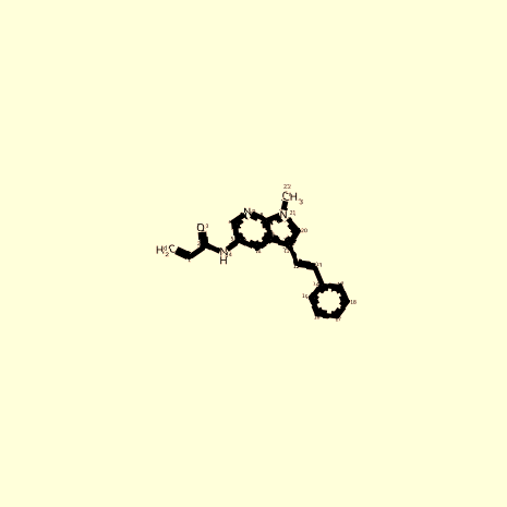 C=CC(=O)Nc1cnc2c(c1)c(C=Cc1ccccc1)cn2C